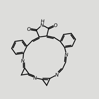 O=C1NC(=O)c2cc3ccccc3nc3c(nc4c(nccnc5ccccc5cc21)C4)C3